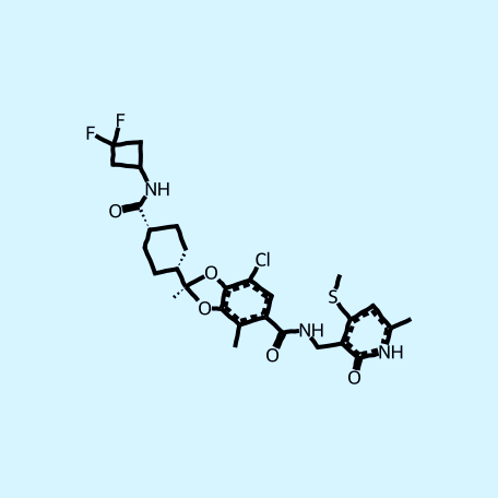 CSc1cc(C)[nH]c(=O)c1CNC(=O)c1cc(Cl)c2c(c1C)O[C@@](C)([C@H]1CC[C@@H](C(=O)NC3CC(F)(F)C3)CC1)O2